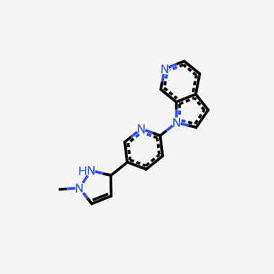 CN1C=CC(c2ccc(-n3ccc4ccncc43)nc2)N1